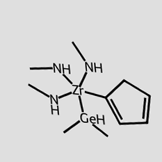 C[NH][Zr]([NH]C)([NH]C)([C]1=CC=CC1)[GeH]([CH3])[CH3]